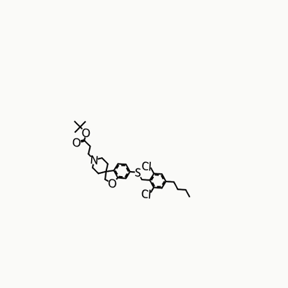 CCCCc1cc(Cl)c(CSc2ccc3c(c2)OCC32CCN(CCC(=O)OC(C)(C)C)CC2)c(Cl)c1